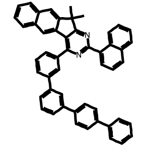 CC1(C)c2cc3ccccc3cc2-c2c(-c3cccc(-c4cccc(-c5ccc(-c6ccccc6)cc5)c4)c3)nc(-c3cccc4ccccc34)nc21